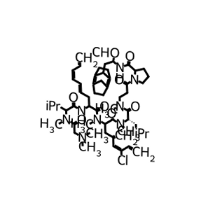 C=C/C=C\C=C\CC(NC(=O)C(C(C)C)N(C)C(=O)CN(C)C)C(=O)N(C)C(CC(=C)/C=C(/Cl)C=C)C(=O)N(C)[C@@H](CC(C)C)C(=O)N(C)CCC(=O)N1CCCC1C(=O)NC(C=O)CC1C2=C3CCC(=C1CC2)C3